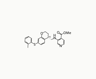 COC(=O)c1ccncc1NC[C@H]1CCOc2cc(Sc3ccccc3C)ccc21